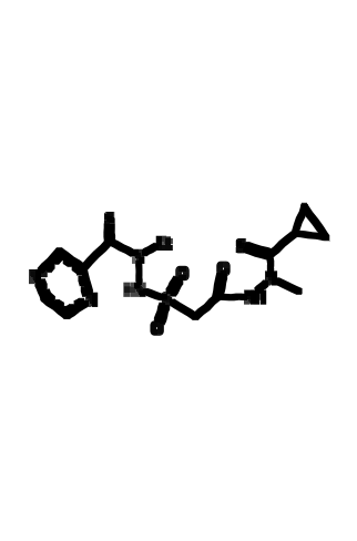 CCN(NS(=O)(=O)CC(=O)NN(C)C(=S)C1CC1)C(=S)c1cnccn1